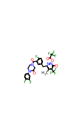 Cc1c(Cc2ccc(F)c(C(=O)N3CCN(c4ccc(F)c(F)c4)C(=O)C3)c2)nn(OC(=O)C(F)(F)F)c(=O)c1C(F)(F)F